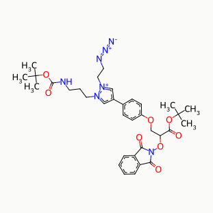 CC(C)(C)OC(=O)NCCCn1cc(-c2ccc(OCC(ON3C(=O)c4ccccc4C3=O)C(=O)OC(C)(C)C)cc2)c[n+]1CCN=[N+]=[N-]